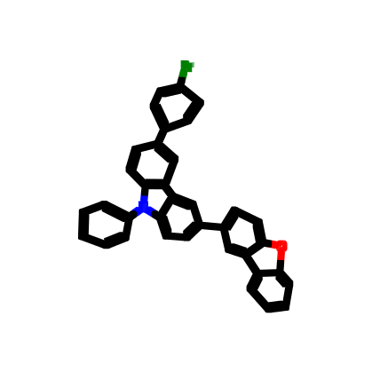 Brc1ccc(-c2ccc3c(c2)c2cc(-c4ccc5oc6ccccc6c5c4)ccc2n3-c2ccccc2)cc1